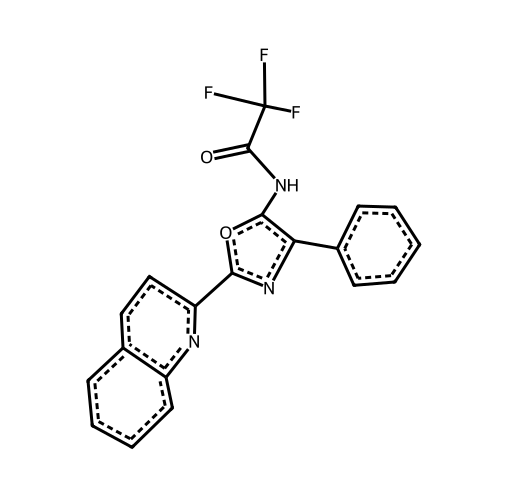 O=C(Nc1oc(-c2ccc3ccccc3n2)nc1-c1ccccc1)C(F)(F)F